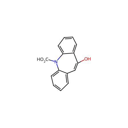 O=C(O)N1c2ccccc2C=C(O)c2ccccc21